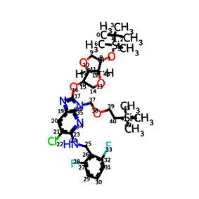 CC(C)(C)[Si](C)(C)O[C@@H]1CO[C@H]2[C@@H]1OC[C@H]2Oc1nc2cc(Cl)c(NCc3c(F)cccc3F)nc2n1COCC[Si](C)(C)C